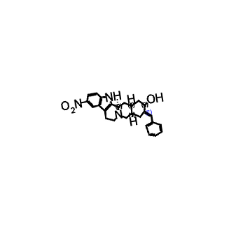 C[C@]12C[C@H]3C[C@@H](O)/C(=C/c4ccccc4)C[C@@H]3CN1CCc1c2[nH]c2ccc([N+](=O)[O-])cc12